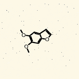 COc1cc2c[c]oc2cc1OC